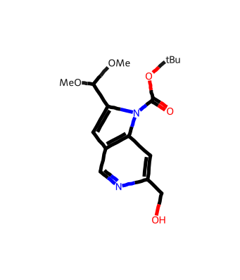 COC(OC)c1cc2cnc(CO)cc2n1C(=O)OC(C)(C)C